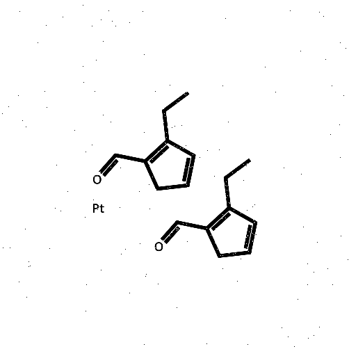 CCC1=C(C=O)CC=C1.CCC1=C(C=O)CC=C1.[Pt]